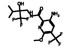 COc1nc(C(=O)NCC(O)(C(C)C)C(F)(F)F)c(N)cc1C(F)(F)F